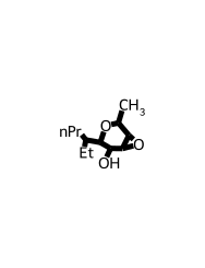 CCCC(CC)C1OC(C)C2OC2C1O